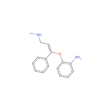 CNCC=C(Oc1ccccc1N)c1ccccc1